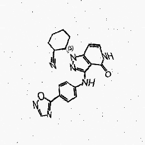 N#CC1CCCC[C@@H]1n1nc(Nc2ccc(-c3ncno3)cc2)c2c(=O)[nH]ccc21